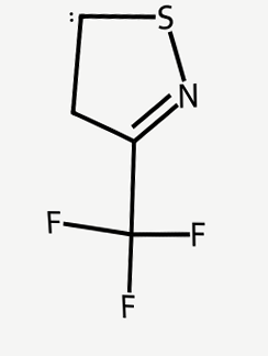 FC(F)(F)C1=NS[C]C1